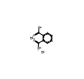 O=C(O)c1ccccc1C(=O)O.[Ag].[Ag]